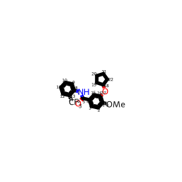 COc1ccc(C(=O)Nc2ccccc2C(F)(F)F)cc1OC1CCCC1